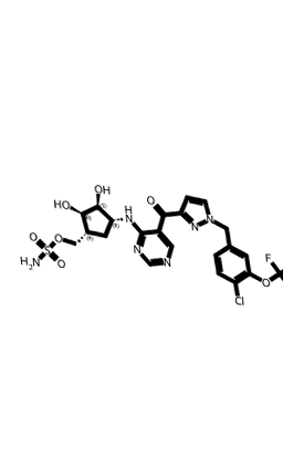 NS(=O)(=O)OC[C@H]1C[C@@H](Nc2ncncc2C(=O)c2ccn(Cc3ccc(Cl)c(OC(F)(F)F)c3)n2)[C@H](O)[C@@H]1O